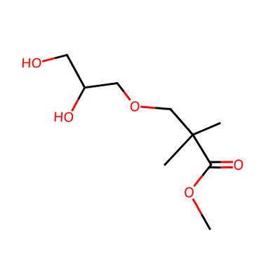 COC(=O)C(C)(C)COCC(O)CO